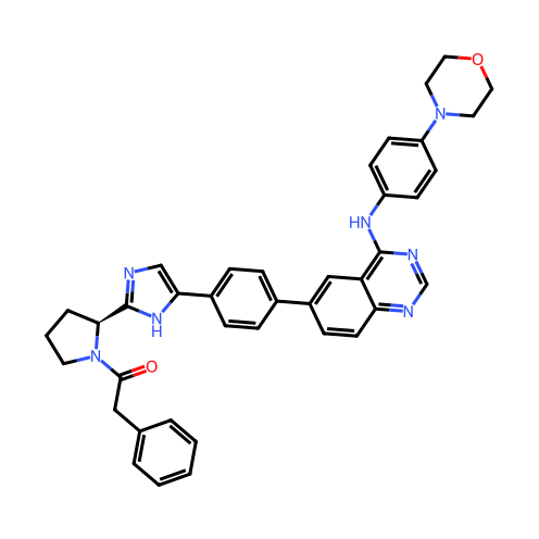 O=C(Cc1ccccc1)N1CCC[C@H]1c1ncc(-c2ccc(-c3ccc4ncnc(Nc5ccc(N6CCOCC6)cc5)c4c3)cc2)[nH]1